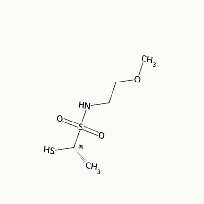 COCCNS(=O)(=O)[C@H](C)S